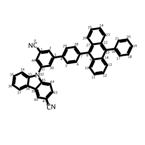 N#Cc1cc(-c2ccc(-c3c4ccccc4c(-c4ccccc4)c4ccccc34)cc2)cc(-n2c3ccccc3c3cc(C#N)ccc32)c1